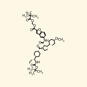 CO[C@H]1CC[C@H]([C@@H]2CCN(C(=O)[C@H]3CC[C@H]([C@@H](CF)NC(=O)OC(C)(C)C)CC3)[C@@H]2C(=O)Nc2ccc3oc(C(=O)OCOC(=O)C(C)(C)C)cc3c2)CC1